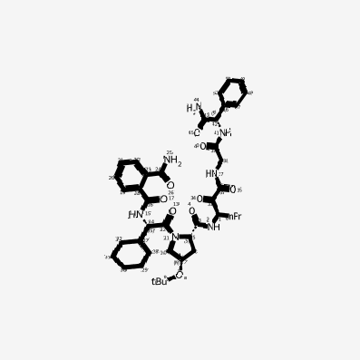 CCCC(NC(=O)[C@@H]1C[C@@H](OC(C)(C)C)CN1C(=O)[C@@H](NC(=O)c1ccccc1C(N)=O)C1CCCCC1)C(=O)C(=O)NCC(=O)N[C@H](C(N)=O)c1ccccc1